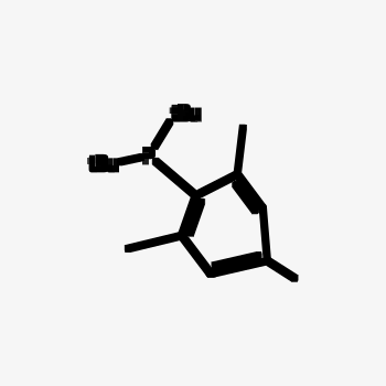 Cc1cc(C)c(P(C(C)(C)C)C(C)(C)C)c(C)c1